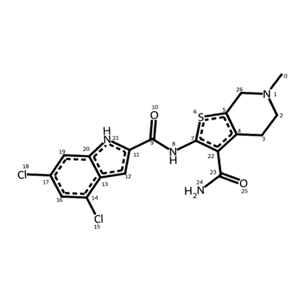 CN1CCc2c(sc(NC(=O)c3cc4c(Cl)cc(Cl)cc4[nH]3)c2C(N)=O)C1